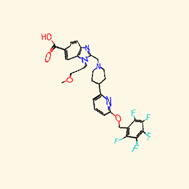 COCCn1c(CN2CCC(c3cccc(OCc4c(F)c(F)c(F)c(F)c4F)n3)CC2)nc2ccc(C(=O)O)cc21